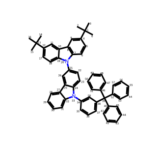 CC(C)(C)c1ccc2c(c1)c1cc(C(C)(C)C)ccc1n2-c1ccc2c(c1)c1ccccc1n2-c1cccc(C(c2ccccc2)(c2ccccc2)c2ccccc2)c1